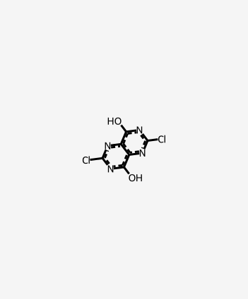 Oc1nc(Cl)nc2c(O)nc(Cl)nc12